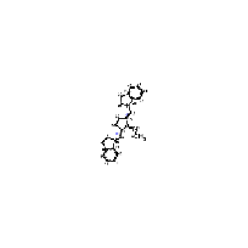 CN=C1/C(=C/N2CCc3ccccc32)CC/C1=C\N1CCc2ccccc21